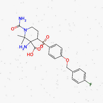 CC1(C)N(C(N)=O)CCC(S(=O)(=O)c2ccc(OCc3ccc(F)cc3)cc2)C1(N)C(=O)O